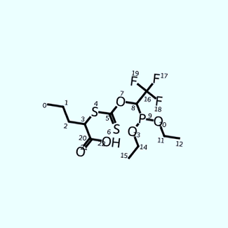 CCCC(SC(=S)OC(P(OCC)OCC)C(F)(F)F)C(=O)O